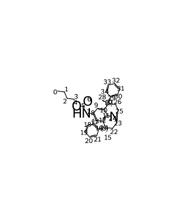 CCCCOC(=O)Nc1cc2c3c(c1)[C@](C)(c1ccccc1)CCN3CC[C@@]2(C)c1ccccc1